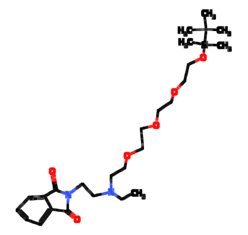 CCN(CCOCCOCCOCCO[Si](C)(C)C(C)(C)C)CCN1C(=O)c2ccccc2C1=O